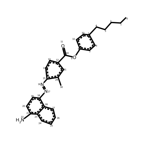 CCCCCc1ccc(OC(=O)c2ccc(/N=N/c3ccc(N)c4ccccc34)c(C)c2)cc1